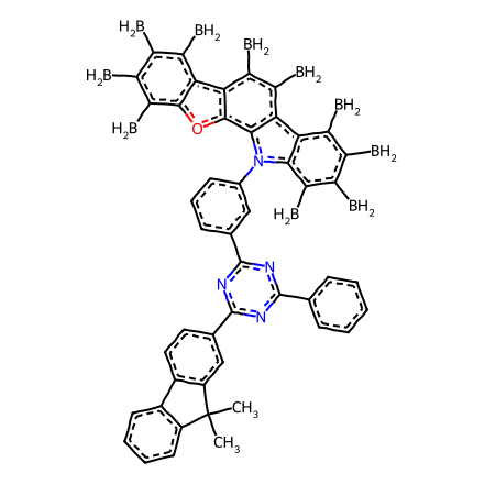 Bc1c(B)c(B)c2c(oc3c2c(B)c(B)c2c4c(B)c(B)c(B)c(B)c4n(-c4cccc(-c5nc(-c6ccccc6)nc(-c6ccc7c(c6)C(C)(C)c6ccccc6-7)n5)c4)c32)c1B